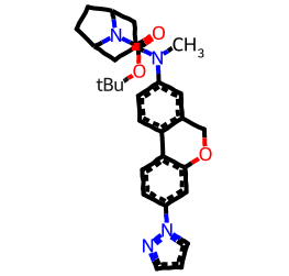 CN(c1ccc2c(c1)COc1cc(-n3cccn3)ccc1-2)C1CC2CCC(C1)N2C(=O)OC(C)(C)C